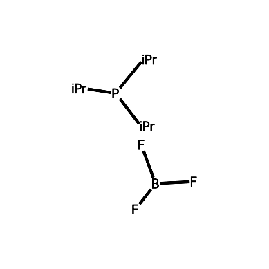 CC(C)P(C(C)C)C(C)C.FB(F)F